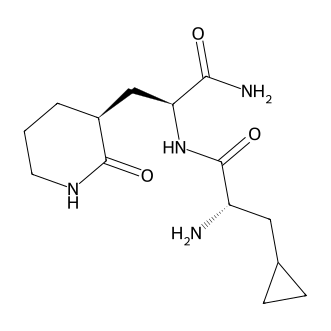 NC(=O)[C@H](C[C@@H]1CCCNC1=O)NC(=O)[C@@H](N)CC1CC1